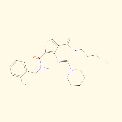 COCCCNC(=O)c1csc(C(=O)N(C)Cc2ccccc2C#N)c1/N=C/N1CCCCC1